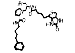 CC(C)C[C@@H](CN1CCC[C@H]1C(=O)NCCCCc1ccccc1)NC(=O)CCCCC1SCC2NC(=O)NC21